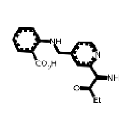 CCC(=O)C(=N)c1cc(CNc2ccccc2C(=O)O)ccn1